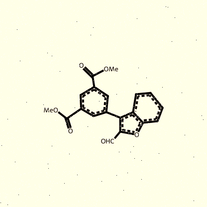 COC(=O)c1cc(C(=O)OC)cc(-c2c(C=O)oc3ccccc23)c1